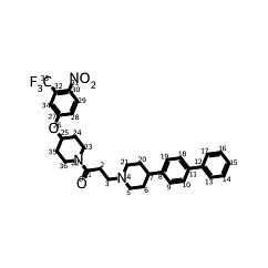 O=C(CCN1CCC(c2ccc(-c3ccccc3)cc2)CC1)N1CCC(Oc2ccc([N+](=O)[O-])c(C(F)(F)F)c2)CC1